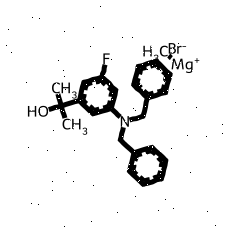 CC(C)(O)c1cc(F)cc(N(Cc2ccccc2)Cc2ccccc2)c1.[Br-].[CH3][Mg+]